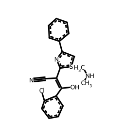 CNC.N#CC(=C(O)c1ccccc1Cl)c1nc(-c2ccccc2)cs1